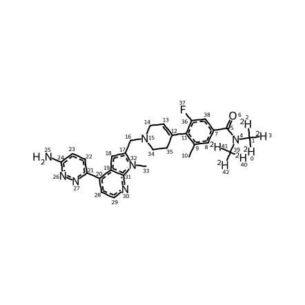 [2H]C([2H])([2H])N(C(=O)c1cc(C)c(C2=CCN(Cc3cc4c(-c5ccc(N)nn5)ccnc4n3C)CC2)c(F)c1)C([2H])([2H])[2H]